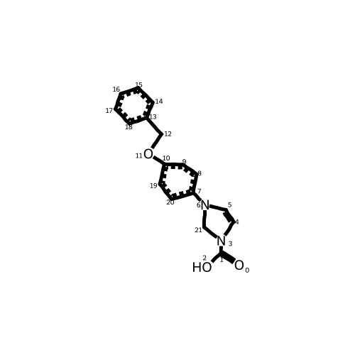 O=C(O)N1C=CN(c2ccc(OCc3ccccc3)cc2)C1